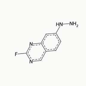 NNc1ccc2cnc(F)nc2c1